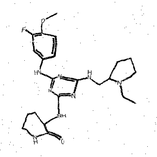 CCN1CCCC1CNc1nc(Nc2ccc(OC)c(F)c2)nc(NC2CCCNC2=O)n1